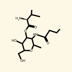 CCCC(=O)NC1C(C)OC(CO)C(O)C1OC(=O)[C@@H](N)C(C)C